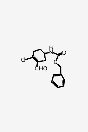 O=CC1=C(Cl)CCC(NC(=O)OCc2ccccc2)C1